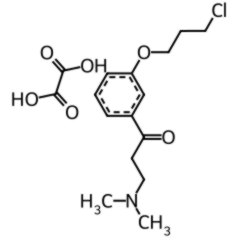 CN(C)CCC(=O)c1cccc(OCCCCl)c1.O=C(O)C(=O)O